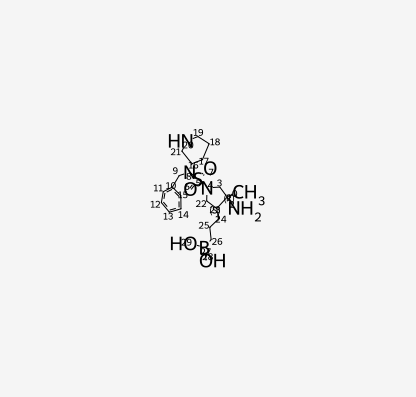 C[C@]1(N)CN(S(=O)(=O)N(Cc2ccccc2)C2CCCNC2)C[C@@H]1CCCB(O)O